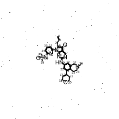 C=CCn1c(=O)c2cnc(Nc3cc4c(c(C5=CCOCC5)c3)CCN(C)C4)nc2n1-c1cccc(N=S(C)(C)=O)n1